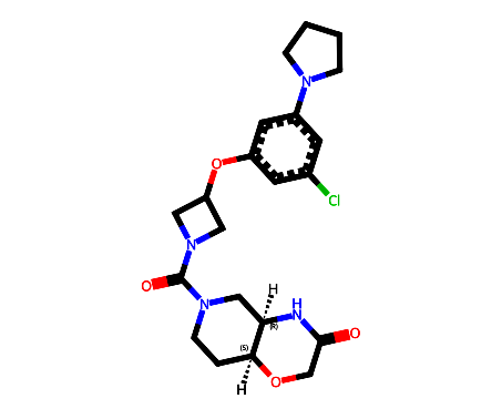 O=C1CO[C@H]2CCN(C(=O)N3CC(Oc4cc(Cl)cc(N5CCCC5)c4)C3)C[C@H]2N1